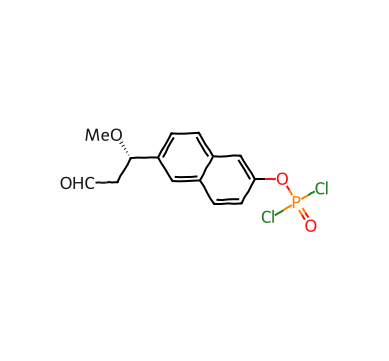 CO[C@@H](CC=O)c1ccc2cc(OP(=O)(Cl)Cl)ccc2c1